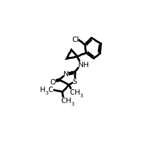 CC(C)C1(C)SC(NC2(c3ccccc3Cl)CC2)=NC1=O